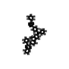 CC1(C)c2cc(-c3nc4ccccc4nc3-c3ccccc3)ccc2-c2ccc(N(c3ccccc3)c3ccc(-c4nnc(-c5ccccc5)o4)cc3)cc21